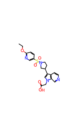 CCOc1ccc(S(=O)(=O)N2CCC(c3cn(CC(=O)O)c4cnccc34)C2)cn1